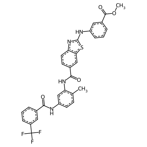 COC(=O)c1cccc(Nc2nc3ccc(C(=O)Nc4cc(NC(=O)c5cccc(C(F)(F)F)c5)ccc4C)cc3s2)c1